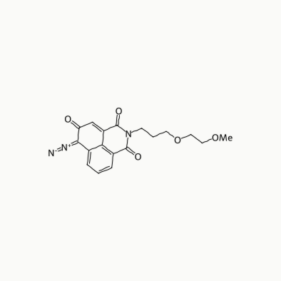 COCCOCCCN1C(=O)C2=CC(=O)C(=[N+]=[N-])c3cccc(c32)C1=O